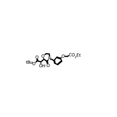 CCOC(=O)COc1cccc(N2CCO[C@H]([C@@H](O)C(=O)OC(C)(C)C)C2=O)c1